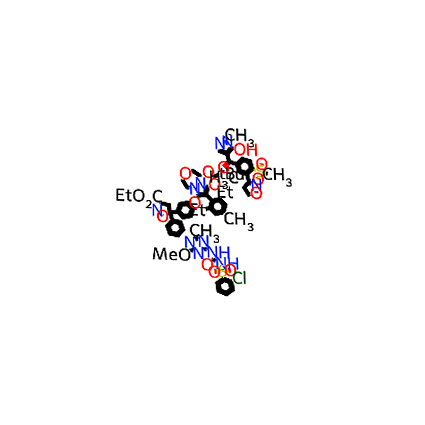 CCOC(=O)C1=NOC(c2ccccc2)(c2ccccc2)C1.CCc1cc(C)cc(CC)c1-c1c(OC(=O)C(C)(C)C)n2n(c1=O)CCOCC2.COc1nc(C)nc(NC(=O)NS(=O)(=O)c2ccccc2Cl)n1.Cc1c(C(=O)c2cnn(C)c2O)ccc(S(C)(=O)=O)c1C1=NOCC1